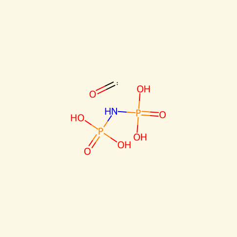 O=P(O)(O)NP(=O)(O)O.[C]=O